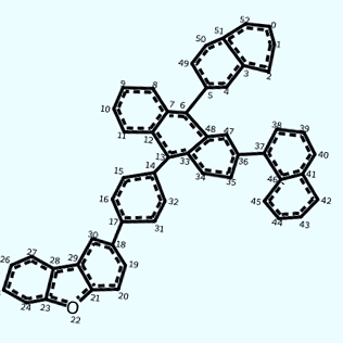 c1ccc2cc(-c3c4ccccc4c(-c4ccc(-c5ccc6oc7ccccc7c6c5)cc4)c4ccc(-c5cccc6ccccc56)cc34)ccc2c1